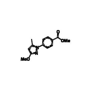 COC(=O)c1ccc(-n2nc(OC)cc2C)cc1